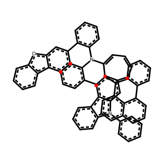 C[C@H]1C(c2cccc3cccc(-c4ccccc4)c23)=CC=CC=C1N(c1ccccc1-c1ccc2c(c1)oc1ccccc12)c1ccccc1-c1cccc2c1c1ccccc1n2-c1ccccc1